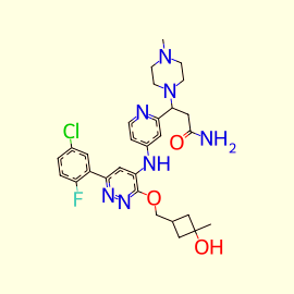 CN1CCN(C(CC(N)=O)c2cc(Nc3cc(-c4cc(Cl)ccc4F)nnc3OCC3CC(C)(O)C3)ccn2)CC1